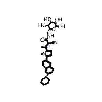 C/C(=C(/C#N)C(=O)NC[C@H]1OC(O)[C@H](O)[C@@H](O)[C@@H]1O)c1ccc(-c2ccc3cc(N4CCCCC4)ccc3c2)n1C